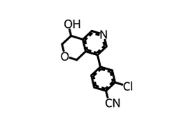 N#Cc1ccc(-c2cncc3c2COCC3O)cc1Cl